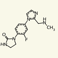 CNCc1nccn1-c1ccc(N2CCNC2=O)c(F)c1